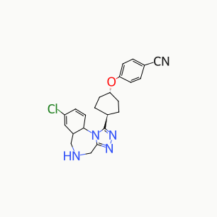 N#Cc1ccc(O[C@H]2CC[C@H](c3nnc4n3C3C=CC(Cl)=CC3CNC4)CC2)cc1